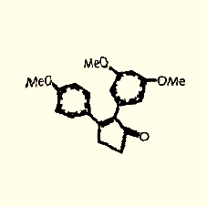 COc1ccc(C2=C(c3cc(OC)cc(OC)c3)C(=O)CC2)cc1